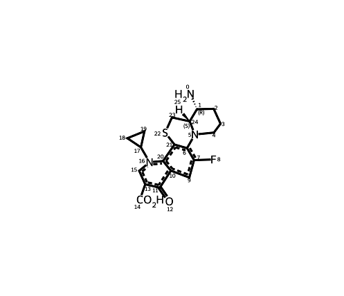 N[C@@H]1CCCN2c3c(F)cc4c(=O)c(C(=O)O)cn(C5CC5)c4c3SC[C@H]12